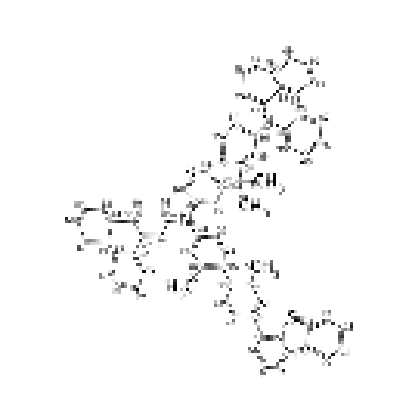 Cc1cc(-c2cccc3c2sc2ccccc23)ccc1-c1ccc(N(c2ccc3c(c2)C(C)(C)c2cc(N(c4ccccc4)c4cccc5ccccc45)ccc2-3)c2ccc3c4ccccc4c4ccccc4c3c2)cc1C